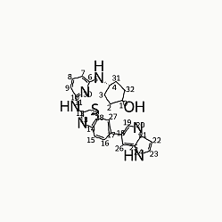 O[C@H]1CC[C@H](Nc2cccc(Nc3nc4ccc(-c5cnc6cc[nH]c6c5)cc4s3)n2)CC1